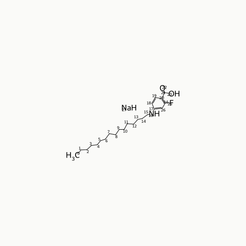 CCCCCCCCCCCCCCCCNc1ccc(C(=O)O)c(F)c1.[NaH]